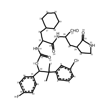 CC(C)(c1cccc(Cl)c1)C(OC(=O)NC(CC1CCCCC1)C(=O)NC(C=O)CC1CCNC1=O)c1ccc(F)cc1